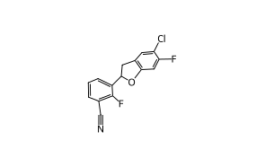 N#Cc1cccc(C2Cc3cc(Cl)c(F)cc3O2)c1F